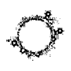 CCCC[C@H]1C(=O)N(C)[C@@H](CCCC)C(=O)N[C@@H](CC(C)C)C(=O)NCCC[C@H](N)C(=O)N[C@@H](Cc2ccc(O)cc2)C(=O)N2CCCC[C@H]2C(=O)N[C@@H](CC(N)=O)C(=O)N2CCC[C@H]2C(=O)N[C@@H](CN)C(=O)N[C@@H](CC(C)C)C(=O)N2CCC[C@H]2C(=O)N[C@@H](Cc2c[nH]c3ccccc23)C(=O)N[C@@H](CCN)C(=O)N[C@@H](Cc2cn(CC(=O)O)c3ccccc23)C(=O)N1C